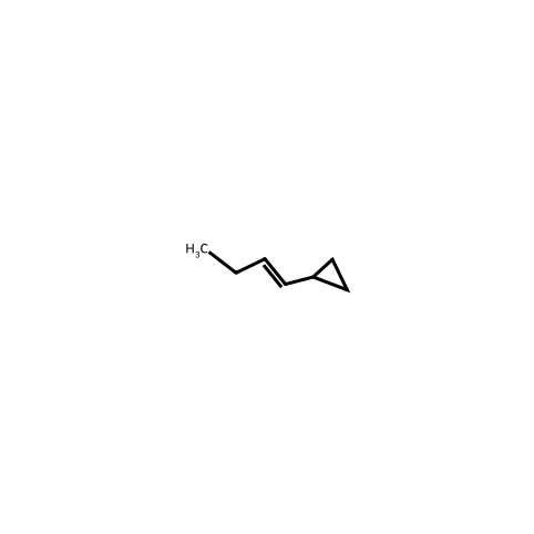 CCC=CC1CC1